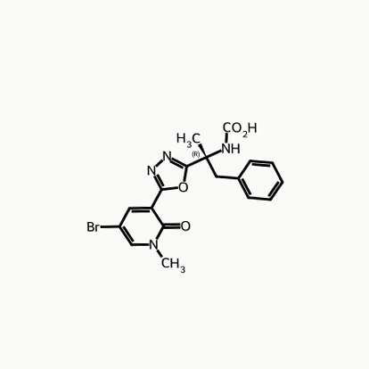 Cn1cc(Br)cc(-c2nnc([C@@](C)(Cc3ccccc3)NC(=O)O)o2)c1=O